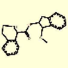 COC1c2ccccc2CC1NC(=O)C1NCCc2ccccc21